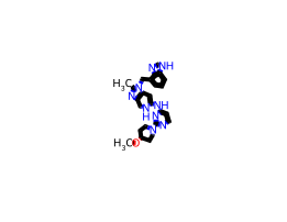 COC1CCN(c2nccc(NC3=Cc4c(nc(C)n4Cc4cccc5[nH]cnc45)CN3)n2)CC1